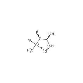 C[C@@H]([SiH]=O)[C@H](F)C(C)(F)F